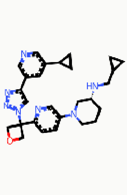 c1ncc(C2CC2)cc1-c1cn(C2(c3ccc(N4CCC[C@@H](NCC5CC5)C4)cn3)COC2)nn1